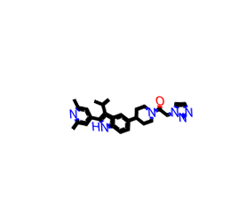 Cc1cc(-c2[nH]c3ccc(C4CCN(C(=O)Cn5ccnn5)CC4)cc3c2C(C)C)cc(C)n1